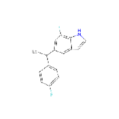 [CH2]CC(c1ccc(F)cc1)c1cc(F)c2[nH]ccc2c1